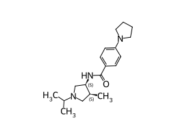 CC(C)N1C[C@H](C)[C@H](NC(=O)c2ccc(N3CCCC3)cc2)C1